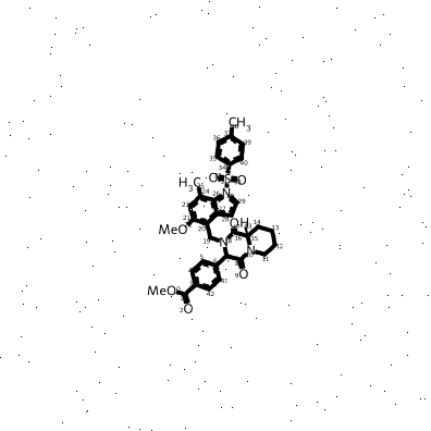 COC(=O)c1ccc(C2C(=O)N3CCCC[C@H]3C(=O)N2Cc2c(OC)cc(C)c3c2ccn3S(=O)(=O)c2ccc(C)cc2)cc1